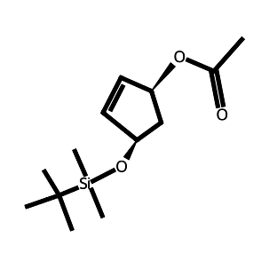 CC(=O)O[C@@H]1C=C[C@H](O[Si](C)(C)C(C)(C)C)C1